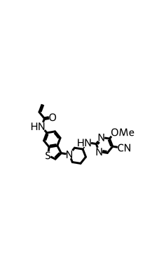 C=CC(=O)Nc1ccc2c(N3CCC[C@@H](Nc4ncc(C#N)c(OC)n4)C3)csc2c1